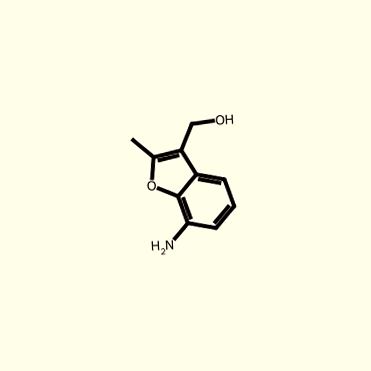 Cc1oc2c(N)cccc2c1CO